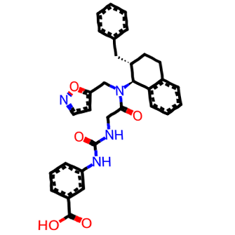 O=C(NCC(=O)N(Cc1ccno1)[C@@H]1c2ccccc2CC[C@H]1Cc1ccccc1)Nc1cccc(C(=O)O)c1